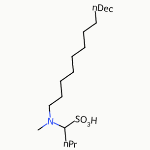 CCCCCCCCCCCCCCCCCCN(C)C(CCC)S(=O)(=O)O